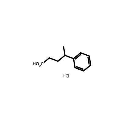 CC(CCC(=O)O)c1ccccc1.Cl